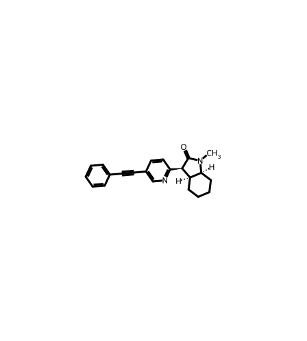 CN1C(=O)[C@H](c2ccc(C#Cc3ccccc3)cn2)[C@@H]2CCCC[C@@H]21